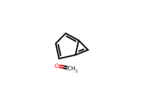 C=O.c1cc2cc-2c1